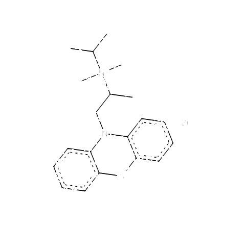 CC(C)[N+](C)(C)C(C)CN1c2ccccc2Sc2ccccc21.[Br-]